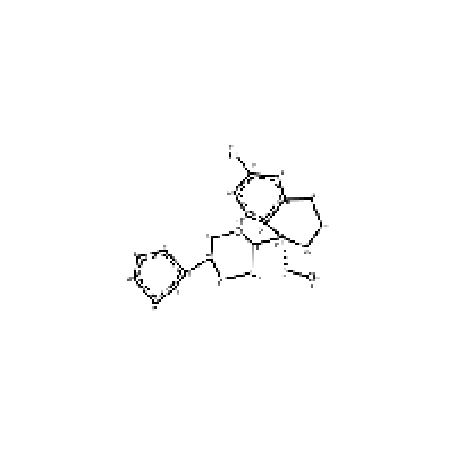 OC[C@@]1(C2OCC(c3ccccc3)CO2)CCCc2cc(Cl)ccc21